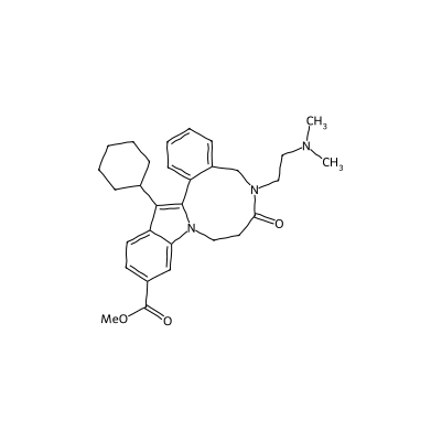 COC(=O)c1ccc2c(C3CCCCC3)c3n(c2c1)CCC(=O)N(CCN(C)C)Cc1ccccc1-3